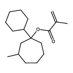 C=C(C)C(=O)OC1(C2CCCCC2)CCCCC(C)C1